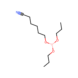 CCCOB(OCCC)OCCCCCC#N